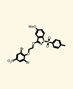 COc1ccc2c(c1)c(OCCOc1c(Br)cc([N+](=O)[O-])cc1Br)nn2S(=O)(=O)c1ccc(C)cc1